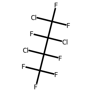 FC(F)(F)C(F)(Cl)C(F)(Cl)C(F)(F)Cl